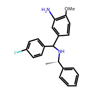 COc1ccc(C(N[C@@H](C)c2ccccc2)c2ccc(F)cc2)cc1N